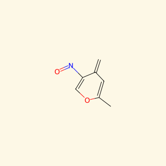 C=C1C=C(C)OC=C1N=O